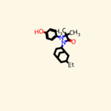 CCC1CC2CCC(N3C(=O)C(C)(C)N3c3ccc(O)cc3)C(C1)C2